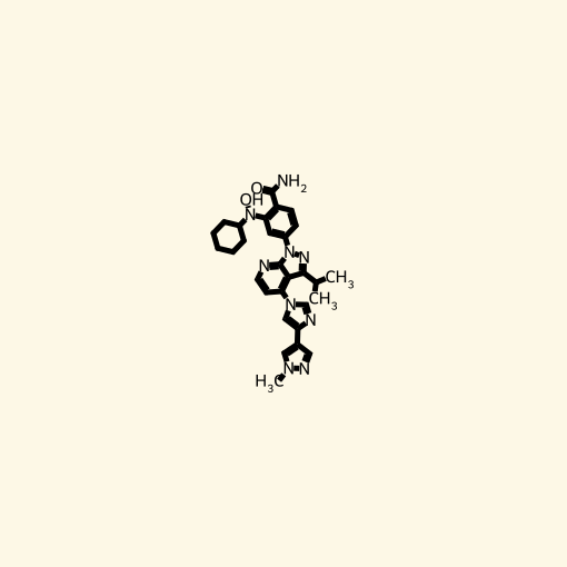 CC(C)c1nn(-c2ccc(C(N)=O)c(N(O)C3CCCCC3)c2)c2nccc(-n3cnc(-c4cnn(C)c4)c3)c12